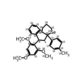 COc1cc(OC)c(C(CC2(c3ccc(C)cc3)CCCC[Se]2)c2ccccc2)c(OC)c1